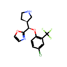 FC(F)(F)c1cc(Cl)ccc1O[C@@H](c1ncco1)[C@H]1CCNC1